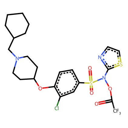 O=C(ON(c1nccs1)S(=O)(=O)c1ccc(OC2CCN(CC3CCCCC3)CC2)c(Cl)c1)C(F)(F)F